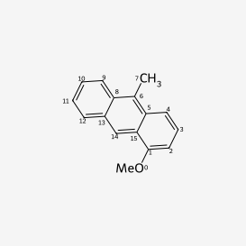 COc1cccc2c(C)c3ccccc3cc12